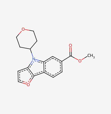 COC(=O)c1ccc2c3occc3n(C3CCOCC3)c2c1